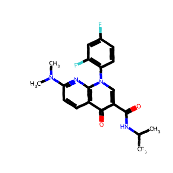 CC(NC(=O)c1cn(-c2ccc(F)cc2F)c2nc(N(C)C)ccc2c1=O)C(F)(F)F